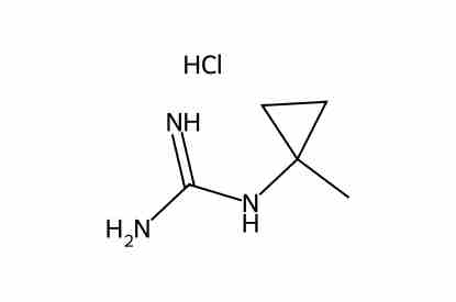 CC1(NC(=N)N)CC1.Cl